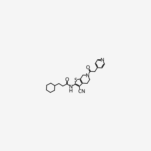 N#Cc1c(NC(=O)CCC2CCCCC2)sc2c1CCN(C(=O)Cc1ccncc1)C2